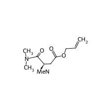 C=CCOC(=O)C[C@@H](NC)C(=O)N(C)C